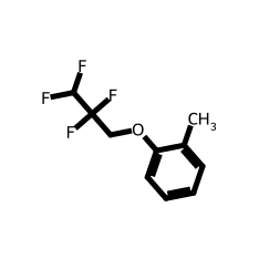 Cc1ccccc1OCC(F)(F)C(F)F